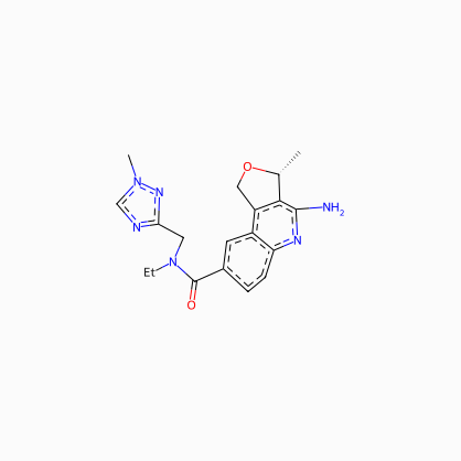 CCN(Cc1ncn(C)n1)C(=O)c1ccc2nc(N)c3c(c2c1)CO[C@@H]3C